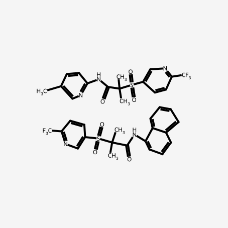 CC(C)(C(=O)Nc1cccc2ccccc12)S(=O)(=O)c1ccc(C(F)(F)F)nc1.Cc1ccc(NC(=O)C(C)(C)S(=O)(=O)c2ccc(C(F)(F)F)nc2)nc1